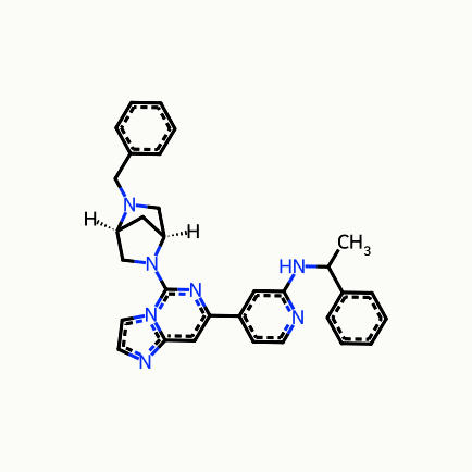 CC(Nc1cc(-c2cc3nccn3c(N3C[C@@H]4C[C@H]3CN4Cc3ccccc3)n2)ccn1)c1ccccc1